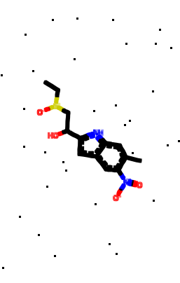 CC[S+]([O-])CC(O)c1cc2cc([N+](=O)[O-])c(C)cc2[nH]1